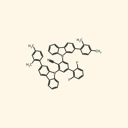 Cc1ccc(-c2ccc3c4ccccc4n(-c4cc(-c5c(F)cccc5F)cc(-n5c6ccccc6c6ccc(-c7ccc(C)cc7C)cc65)c4C#N)c3c2)c(C)c1